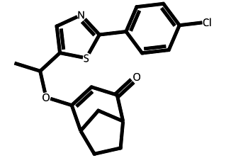 CC(OC1=CC(=O)C2CCC1C2)c1cnc(-c2ccc(Cl)cc2)s1